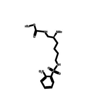 CCCCOC(=O)NC[C@H](CCCCNS(=O)(=O)c1ccccc1[N+](=O)[O-])NC